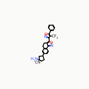 [C-]#[N+]C1(N)CCC(c2ccc3c(c2)CCc2c-3noc2-c2noc(-c3ccccc3)c2C(F)(F)F)C1